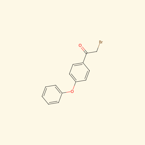 O=C(CBr)c1ccc(Oc2ccccc2)cc1